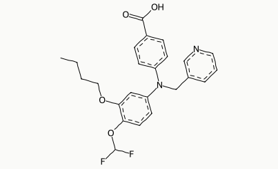 CCCCOc1cc(N(Cc2cccnc2)c2ccc(C(=O)O)cc2)ccc1OC(F)F